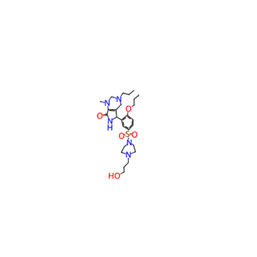 CCCOc1ccc(S(=O)(=O)N2CCN(CCCO)CC2)cc1C1NC(=O)C2=C1CN(CCC)CN2C